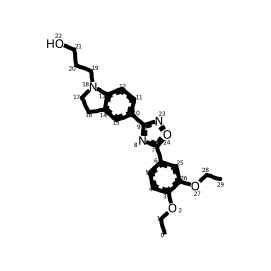 CCOc1ccc(-c2nc(-c3ccc4c(c3)CCN4CCCO)no2)cc1OCC